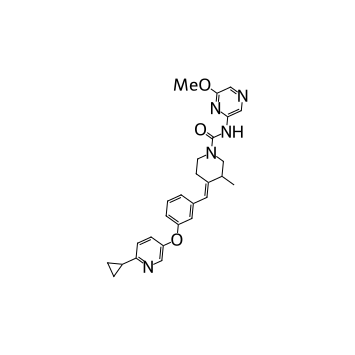 COc1cncc(NC(=O)N2CCC(=Cc3cccc(Oc4ccc(C5CC5)nc4)c3)C(C)C2)n1